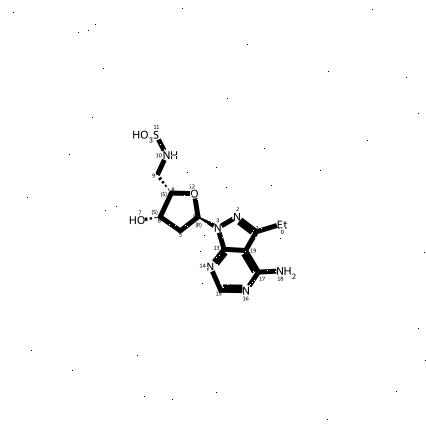 CCc1nn([C@H]2C[C@H](O)[C@H](CNS(=O)(=O)O)O2)c2ncnc(N)c12